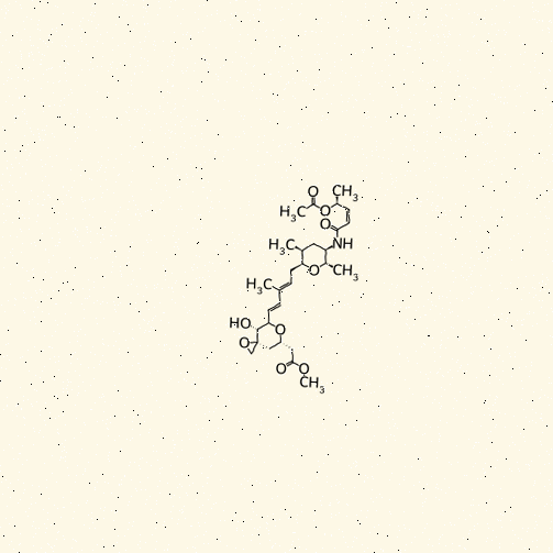 COC(=O)C[C@@H]1C[C@@]2(CO2)[C@H](O)C(/C=C/C(C)=C/C[C@@H]2O[C@H](C)[C@H](NC(=O)/C=C\[C@H](C)OC(C)=O)C[C@@H]2C)O1